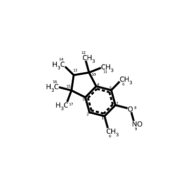 Cc1cc2c(c(C)c1ON=O)C(C)(C)C(C)C2(C)C